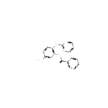 COc1ccc(Nc2ncccn2)c(OC(=O)c2ccccc2)c1